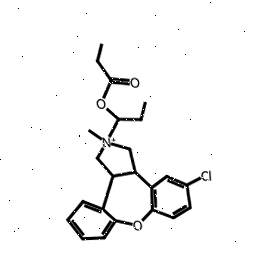 CCC(=O)OC(CC)[N+]1(C)CC2c3ccccc3Oc3ccc(Cl)cc3C2C1